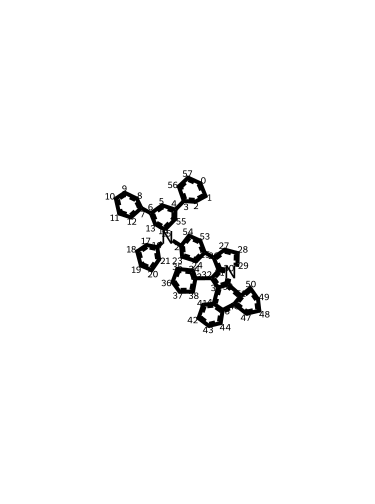 c1ccc(-c2cc(-c3ccccc3)cc(N(c3ccccc3)c3ccc(-c4cccn5c4c(-c4ccccc4)c4c6ccccc6c6ccccc6c45)cc3)c2)cc1